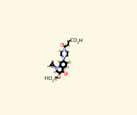 O=C(O)CCC(=O)N1CCN(c2cc3c(cc2F)c(=O)c(OC(=O)O)cn3C2CC2)CC1